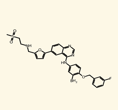 Bc1cc(Nc2ncnc3ccc(-c4ccc(CNCCS(C)(=O)=O)o4)cc23)ccc1OCc1cccc(F)c1